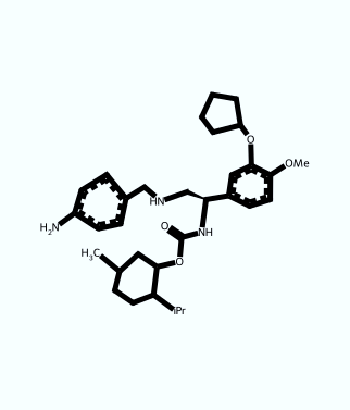 COc1ccc([C@H](CNCc2ccc(N)cc2)NC(=O)OC2CC(C)CCC2C(C)C)cc1OC1CCCC1